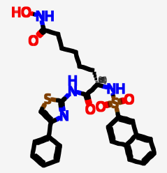 O=C(CCCCC[C@H](NS(=O)(=O)c1ccc2ccccc2c1)C(=O)Nc1nc(-c2ccccc2)cs1)NO